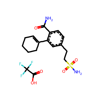 NC(=O)c1ccc(CCS(N)(=O)=O)cc1C1=CCCCC1.O=C(O)C(F)(F)F